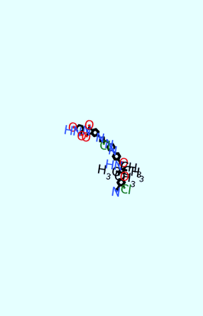 CC1(C)[C@H](NC(=O)c2ccc(N3CCN(CC4(Cl)CN(c5ccc6c(c5)C(=O)N(C5CCC(=O)NC5=O)C6=O)C4)CC3)cc2)C(C)(C)[C@H]1Oc1ccc(C#N)c(Cl)c1